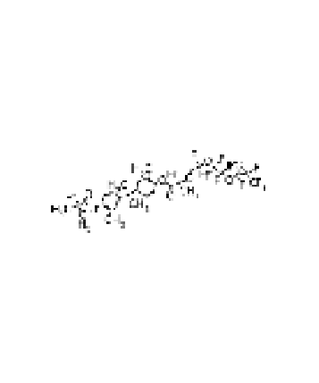 CCC(C)(C)C(=O)Oc1ccc(C(C)(C)c2ccc(OC(=O)C(C)(CC)OCC(F)(F)OC(F)(F)C(F)(F)OC(F)(F)C(F)(C(F)(F)F)C(F)(F)F)c(C)c2)cc1C